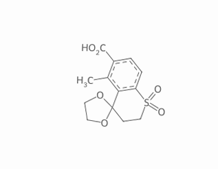 Cc1c(C(=O)O)ccc2c1C1(CCS2(=O)=O)OCCO1